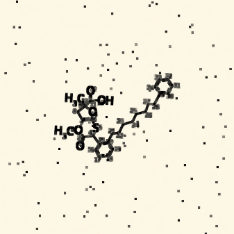 COC(=O)C(SC1=CCC(C)(C(=O)O)O1)c1ccccc1CCCCCCCCc1ccccc1